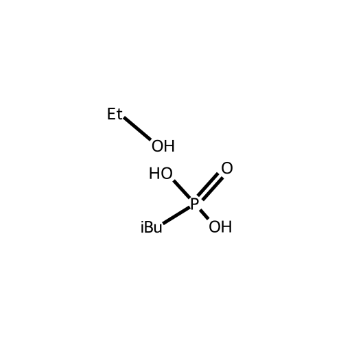 CCC(C)P(=O)(O)O.CCO